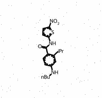 CCCCNc1ccc(C(=O)Nc2ccc([N+](=O)[O-])s2)c(C(C)C)c1